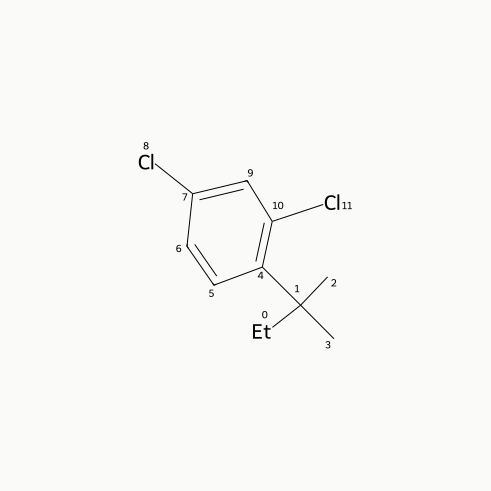 CCC(C)(C)c1ccc(Cl)cc1Cl